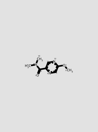 COc1cnc(C(=O)N(C)C)cn1